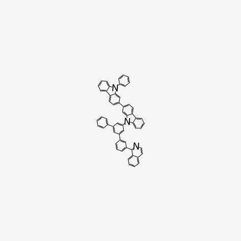 c1ccc(-c2cc(-c3cccc(-c4nccc5ccccc45)c3)cc(-n3c4ccccc4c4ccc(-c5ccc6c7ccccc7n(-c7ccccc7)c6c5)cc43)c2)cc1